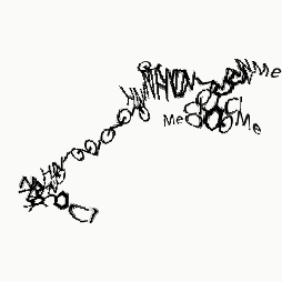 C=C(CN1CCN(CCCn2c(=O)c(-c3c(Cl)c(OC)cc(OC)c3Cl)cc3cnc(NC)nc32)CC1)C(=O)NCCNC(=O)CCOCCOCCOCCOCCNC(=O)C[C@H]1N=C(c2ccc(Cl)cc2)c2c(sc(C)c2C)-n2c(C)nnc21